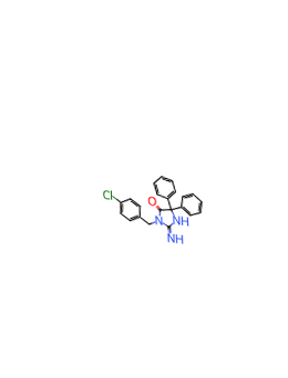 N=C1NC(c2ccccc2)(c2ccccc2)C(=O)N1Cc1ccc(Cl)cc1